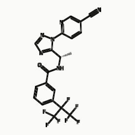 C[C@H](NC(=O)c1cccc(C(F)(C(F)(F)F)C(F)(F)F)c1)c1ncnn1-c1ccc(C#N)cn1